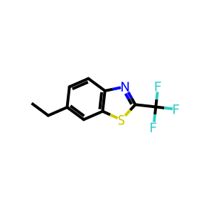 CCc1ccc2nc(C(F)(F)F)sc2c1